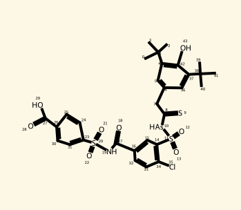 CC(C)(C)c1cc(CC(=S)[AsH]S(=O)(=O)c2cc(C(=O)NS(=O)(=O)c3ccc(C(=O)O)cc3)ccc2Cl)cc(C(C)(C)C)c1O